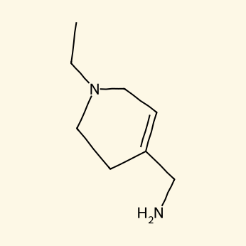 CCN1CC=C(CN)CC1